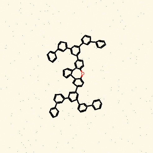 c1ccc(-c2cccc(-c3cc(-c4cccc(-c5ccccc5)c4)cc(-c4ccc5c(c4)-c4ccccc4-c4cc(-c6cc(-c7cccc(-c8ccccc8)c7)cc(-c7cccc(-c8ccccc8)c7)c6)ccc4O5)c3)c2)cc1